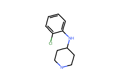 Clc1ccccc1NC1CC[N]CC1